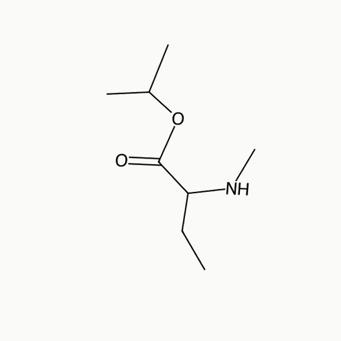 CCC(NC)C(=O)OC(C)C